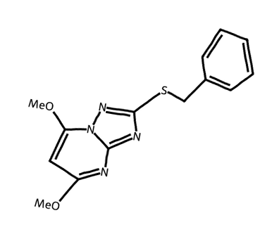 COc1cc(OC)n2nc(SCc3ccccc3)nc2n1